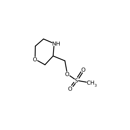 CS(=O)(=O)OCC1COCCN1